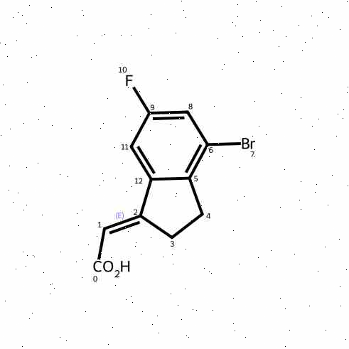 O=C(O)/C=C1\CCc2c(Br)cc(F)cc21